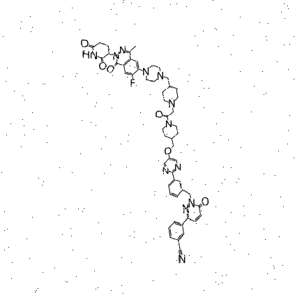 Cc1nn(C2CCC(=O)NC2=O)c(=O)c2cc(F)c(N3CCN(CC4CCN(CC(=O)N5CCC(COc6cnc(-c7cccc(Cn8nc(-c9cccc(C#N)c9)ccc8=O)c7)nc6)CC5)CC4)CC3)cc12